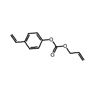 C=CCOC(=O)Oc1ccc(C=C)cc1